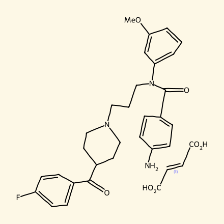 COc1cccc(N(CCCN2CCC(C(=O)c3ccc(F)cc3)CC2)C(=O)c2ccc(N)cc2)c1.O=C(O)/C=C/C(=O)O